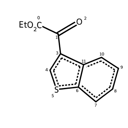 CCOC(=O)C(=O)c1csc2ccccc12